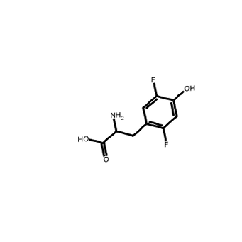 NC(Cc1cc(F)c(O)cc1F)C(=O)O